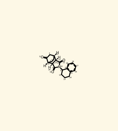 O=C1C[C@H]2CC[C@@H]1[C@H]1C(=O)N(C3CCCc4ccccc43)C(=O)[C@@H]21